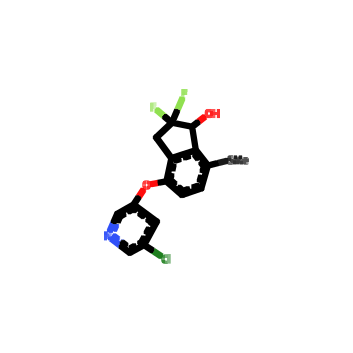 CSc1ccc(Oc2cncc(Cl)c2)c2c1C(O)C(F)(F)C2